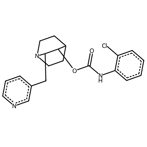 O=C(Nc1ccccc1Cl)OC1C2CCN(CC2)C1Cc1cccnc1